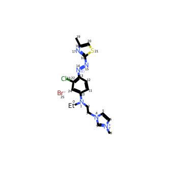 CCN(CCn1cc[n+](C)c1)c1ccc(/N=N/c2nc(C)cs2)c(Cl)c1.[Br-]